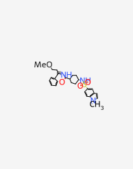 COCC[C@@H](NC(=O)C1CCC(NS(=O)(=O)c2ccc3c(ccn3C)c2)CC1)c1ccccc1